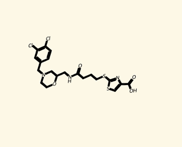 O=C(CCCSc1nc(C(=O)O)cs1)NCC1CN(Cc2ccc(Cl)c(Cl)c2)CCO1